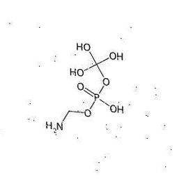 NCOP(=O)(O)OC(O)(O)O